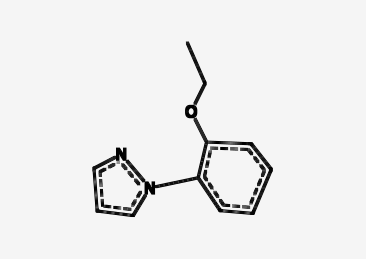 CCOc1ccccc1-n1cccn1